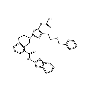 O=C(O)Oc1nc(N2CCc3cccc(C(=O)Nc4nc5ccccc5s4)c3C2)sc1CCOCc1ccccc1